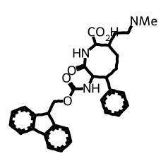 CNCCC1CCC(c2ccccc2)C(NC(=O)OCC2c3ccccc3-c3ccccc32)C(=O)NC1C(=O)O